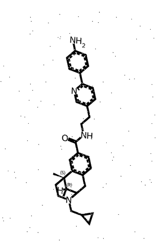 C[C@H]1C2Cc3ccc(C(=O)NCCc4ccc(-c5ccc(N)cc5)nc4)cc3[C@@]1(C)CCN2CC1CC1